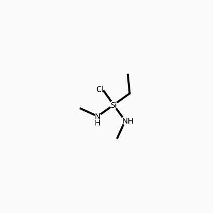 CC[Si](Cl)(NC)NC